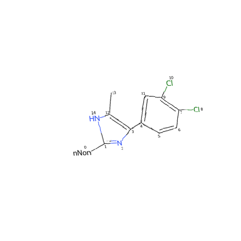 CCCCCCCCCc1nc(-c2ccc(Cl)c(Cl)c2)c(C)[nH]1